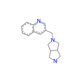 c1ccc2ncc(CN3CC4C[N]CC4C3)cc2c1